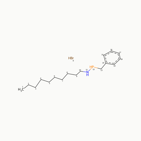 Br.CCCCCCCCCCNPCc1ccccc1